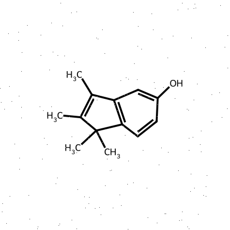 CC1=C(C)C(C)(C)c2ccc(O)cc21